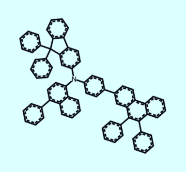 c1ccc(-c2ccc(N(c3ccc(-c4ccc5c(c4)c(-c4ccccc4)c(-c4ccccc4)c4ccccc45)cc3)c3ccc4c(c3)C(c3ccccc3)(c3ccccc3)c3ccccc3-4)c3ccccc23)cc1